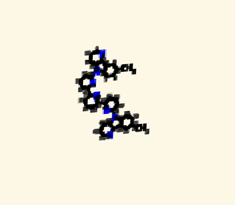 Cc1ccc2c(c1)c1ncccc1n2-c1cccc(-c2cccc(-c3cccc(-n4c5ccc(C)cc5c5ncccc54)n3)n2)n1